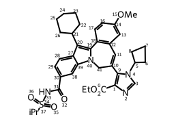 CCOC(=O)c1ncn(C2CCC2)c1C1=Cc2cc(OC)ccc2-c2c(C3CCCCC3)c3ccc(C(=O)NS(=O)(=O)C(C)C)cc3n2C1